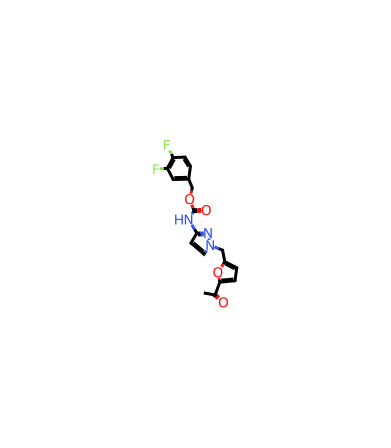 CC(=O)c1ccc(Cn2ccc(NC(=O)OCc3ccc(F)c(F)c3)n2)o1